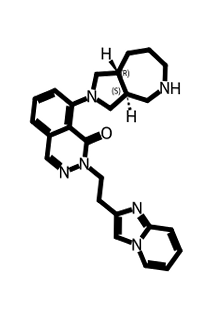 O=c1c2c(N3C[C@@H]4CCCNC[C@H]4C3)cccc2cnn1CCc1cn2ccccc2n1